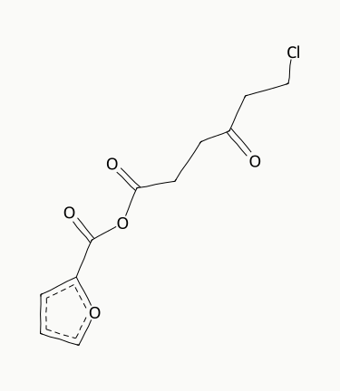 O=C(CCCl)CCC(=O)OC(=O)c1ccco1